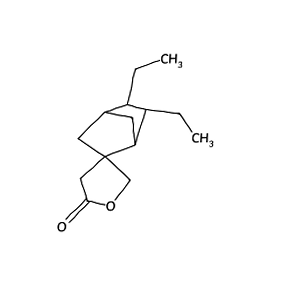 CCC1C2CC(C1CC)C1(COC(=O)C1)C2